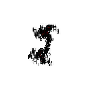 CN1C(C)(C)CC(OC(=O)C(CCCCCCOc2ccc(OC(=O)[C@H]3CC[C@H](C(=O)Oc4ccc(OCCCCCCC(Cc5cc(C(C)(C)C)c(O)c(C(C)(C)C)c5)(C(=O)OC5CC(C)(C)N(C)C(C)(C)C5)C(=O)OC5CC(C)(C)N(C)C(C)(C)C5)cc4)CC3)cc2)(Cc2cc(C(C)(C)C)c(O)c(C(C)(C)C)c2)C(=O)OC2CC(C)(C)N(C)C(C)(C)C2)CC1(C)C